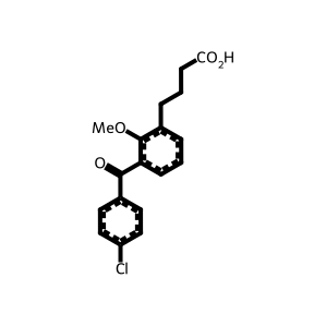 COc1c(CCCC(=O)O)cccc1C(=O)c1ccc(Cl)cc1